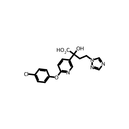 O=C(O)C(O)(CCn1cncn1)c1ccc(Oc2ccc(Cl)cc2)nc1